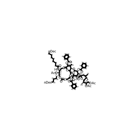 CCCCCCCCCCCCCCCCCC(=O)N[C@H]1CO[C@@H]2O[C@@H](COC(=O)CCC(=O)O[C@H](CCCCCCCCCCCCCC)[C@H]1OC(C)=O)[C@@H](O[C@@H]1OC(COC(=O)c3ccccc3)[C@H](C)[C@H](O[C@]3(C(=O)OC)CC(C)[C@@H](C)[C@H]([C@H](C)C(COC(C)=O)OC(C)=O)O3)C1OC(=O)c1ccccc1)C(C)C2OC(=O)c1ccccc1